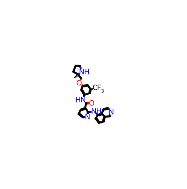 C[C@@]1(COc2cc(NC(=O)c3cccnc3Nc3cccc4cnccc34)cc(C(F)(F)F)c2)CCCN1